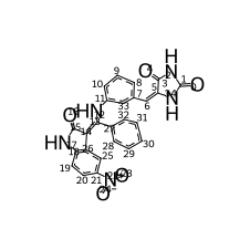 O=C1NC(=O)/C(=C\c2cccc(N/C(=C3\C(=O)Nc4ccc([N+](=O)[O-])cc43)c3ccccc3)c2)N1